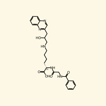 O=C(CNC(=O)c1ccccc1)N[C@@H](CCCCNCC(O)Cc1cnc2ccccc2n1)C(=O)O